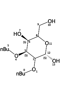 CCCCOC1[C@@H](OCCCC)[C@@H](O)C(CO)O[C@@H]1O